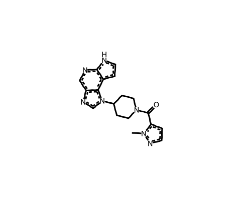 Cn1nccc1C(=O)N1CCC(n2cnc3cnc4[nH]ccc4c32)CC1